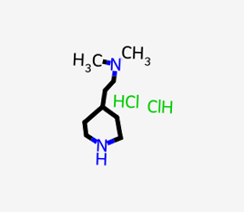 CN(C)CCC1CCNCC1.Cl.Cl